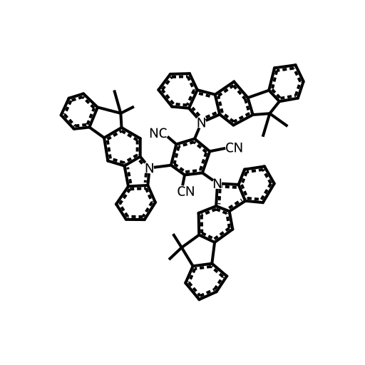 CC1(C)c2ccccc2-c2cc3c4ccccc4n(-c4c(C#N)c(-n5c6ccccc6c6cc7c(cc65)C(C)(C)c5ccccc5-7)c(C#N)c(-n5c6ccccc6c6cc7c(cc65)C(C)(C)c5ccccc5-7)c4C#N)c3cc21